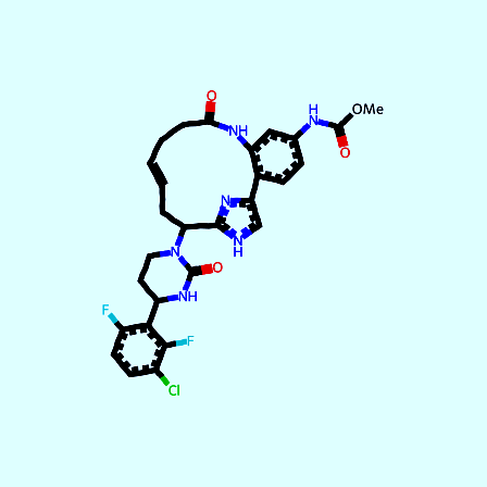 COC(=O)Nc1ccc2c(c1)NC(=O)CC/C=C/CC(N1CCC(c3c(F)ccc(Cl)c3F)NC1=O)c1nc-2c[nH]1